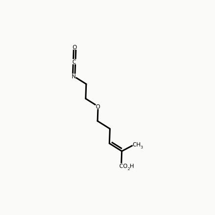 CC(=CCCOCCN=C=O)C(=O)O